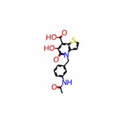 CC(=O)Nc1cccc(Cn2c(=O)c(O)c(C(=O)O)c3sccc32)c1